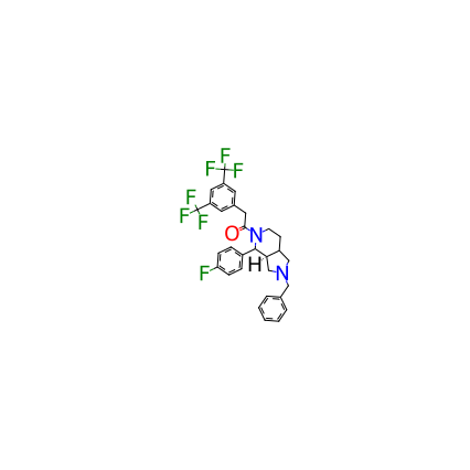 O=C(Cc1cc(C(F)(F)F)cc(C(F)(F)F)c1)N1CCC2CN(Cc3ccccc3)C[C@H]2C1c1ccc(F)cc1